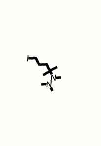 CN(C)N(C)C(C)(C)CCCI